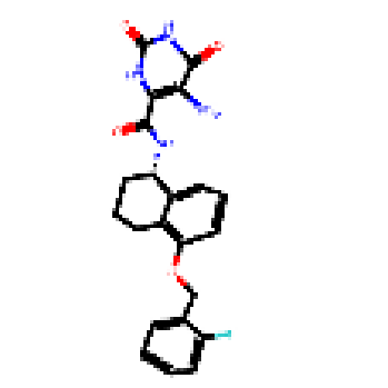 Nc1c(C(=O)N[C@H]2CCCc3c(OCc4ccccc4F)cccc32)[nH]c(=O)[nH]c1=O